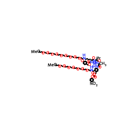 COCCOCCOCCOCCOCCOCCOCCOCCNC(=O)c1cc(NC(=O)[C@H](C)NC(=O)[C@@H](NC(=O)[C@H](CCCCNC(=O)COCCOCCOCCOCCOCCOCCOCCOCCOCCOC)NC(=O)OCc2ccccc2)C(C)C)ccc1COC(=O)Oc1ccc([N+](=O)[O-])cc1